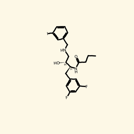 CCCC(=O)N[C@@H](Cc1cc(F)cc(F)c1)[C@H](O)CNCc1cccc(I)c1